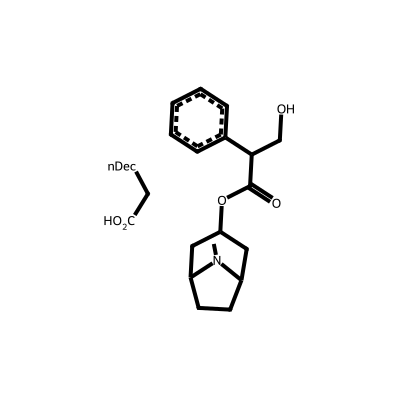 CCCCCCCCCCCC(=O)O.CN1C2CCC1CC(OC(=O)C(CO)c1ccccc1)C2